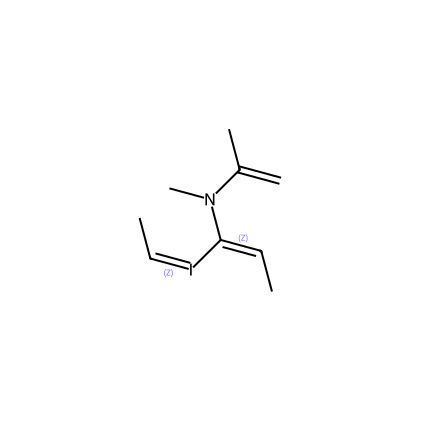 C=C(C)N(C)C(=C/C)/I=C\C